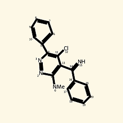 CNc1nnc(-c2ccccc2)c(Cl)c1C(=N)c1ccccc1